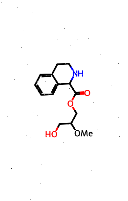 COC(CO)COC(=O)C1NCCc2ccccc21